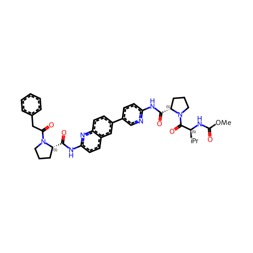 COC(=O)N[C@H](C(=O)N1CCC[C@H]1C(=O)Nc1ccc(-c2ccc3nc(NC(=O)[C@@H]4CCCN4C(=O)Cc4ccccc4)ccc3c2)cn1)C(C)C